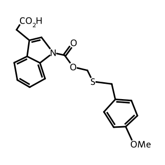 COc1ccc(CSCOC(=O)n2cc(CC(=O)O)c3ccccc32)cc1